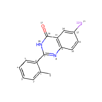 Cc1ccccc1-c1nc2ccc([127I])cc2c(=O)[nH]1